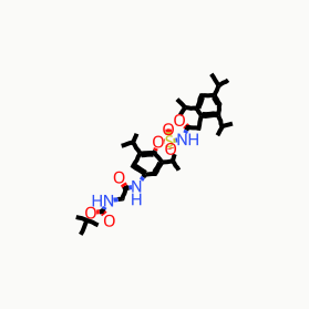 CC(C)c1cc(C(C)C)c(CC(=O)NS(=O)(=O)Oc2c(C(C)C)cc(NC(=O)CNC(=O)OC(C)(C)C)cc2C(C)C)c(C(C)C)c1